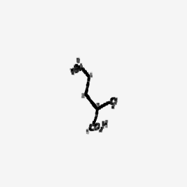 CCCCCCC(Cl)C(=O)O